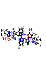 CC[C@H](NC(=O)[C@H](C)NC)C(=O)N1C[C@@H](F)C[C@H]1Cc1c(-c2nc3cc(F)ccc3n2C[C@@H]2C[C@H](F)CN2C(=O)C(NC(=O)[C@H](C)NC)C(C)C)[nH]c2cc(Cl)ccc12